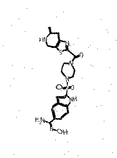 CC1Cc2nc(C(=O)N3CCN(S(=O)(=O)c4cc5cc(/C(N)=N\O)ccc5[nH]4)CC3)sc2CN1